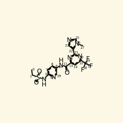 CCS(=O)(=O)Nc1ccc(NC(=O)c2cc(C(F)(F)F)nc(-c3cncn3C)n2)cn1